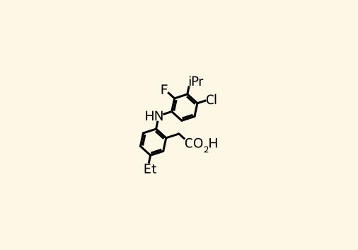 CCc1ccc(Nc2ccc(Cl)c(C(C)C)c2F)c(CC(=O)O)c1